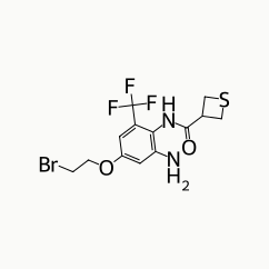 Nc1cc(OCCBr)cc(C(F)(F)F)c1NC(=O)C1CSC1